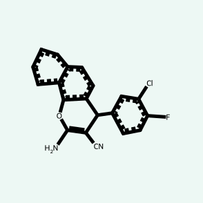 N#CC1=C(N)Oc2c(ccc3ccccc23)C1c1ccc(F)c(Cl)c1